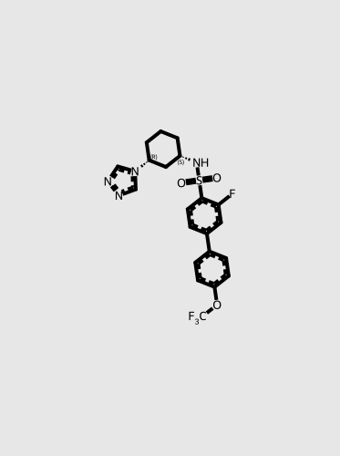 O=S(=O)(N[C@H]1CCC[C@@H](n2cnnc2)C1)c1ccc(-c2ccc(OC(F)(F)F)cc2)cc1F